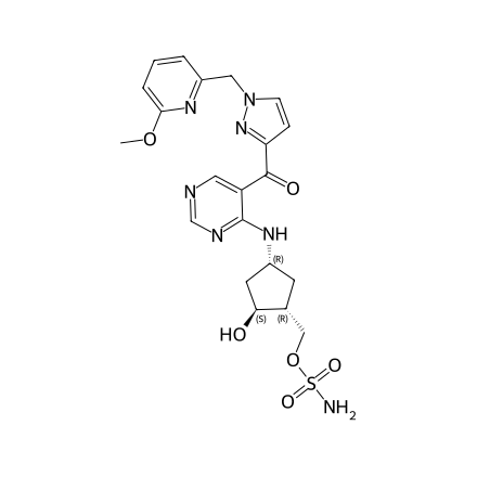 COc1cccc(Cn2ccc(C(=O)c3cncnc3N[C@@H]3C[C@H](COS(N)(=O)=O)[C@@H](O)C3)n2)n1